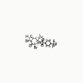 CC1CC2(C3CC3)C(C(Br)C(=O)C1Br)N2S(=O)(=O)c1ccc(C(F)(F)F)cc1